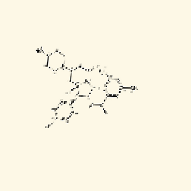 C[C@@H](O[C@H]1CN2C(=O)CC(N3CCC(O)CC3)C[C@H]2[C@@H]1c1ccc(F)cc1)c1cc(C(F)(F)F)cc(C(F)(F)F)c1